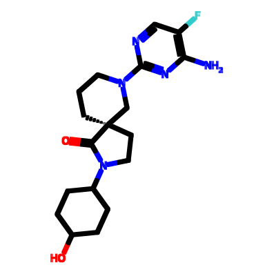 Nc1nc(N2CCC[C@@]3(CCN(C4CCC(O)CC4)C3=O)C2)ncc1F